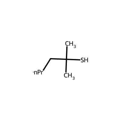 CC[CH]CC(C)(C)S